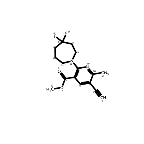 C#Cc1cc(C(=O)OC)c(N2CCCC(F)(F)CC2)nc1C